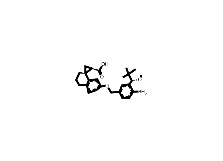 Bc1ccc(COc2ccc3c(c2)[C@]2(CCC3)C[C@H]2C(=O)O)cc1[C@@H](OC)C(C)(C)C